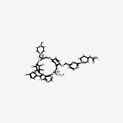 Cc1c(Cl)c2c(Cl)c(C)c1-c1c(-c3ccc(F)cc3)sc3ncnc(c13)O[C@@H](C(=O)O)Cc1cc(ccc1OCc1ccnc(N3CCC(CC(N)=O)CC3)n1)OC[C@@H](CN1CCN(C)CC1)O2